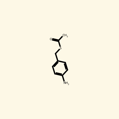 CC(=O)SCc1ccc(N)cc1